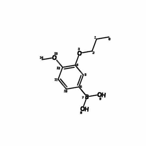 CCCOc1cc(B(O)O)ccc1OC